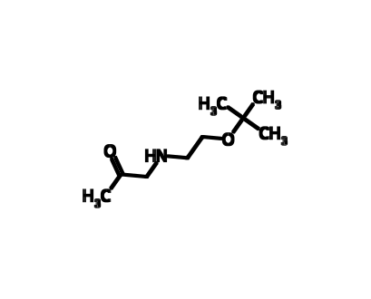 CC(=O)CNCCOC(C)(C)C